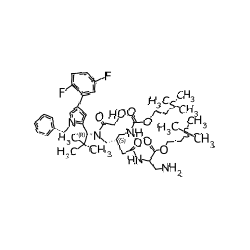 CC(C)(C)[C@H](c1cc(-c2cc(F)ccc2F)cn1Cc1ccccc1)N(C[C@H](CNC(=O)OCCS(C)(C)C)CC(=O)NC(CN)C(=O)OCCS(C)(C)C)C(=O)CO